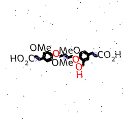 COc1cc(/C=C/C(=O)O)cc(CO)c1OC/C=C/COc1c(OC)cc(/C=C/C(=O)O)cc1OC